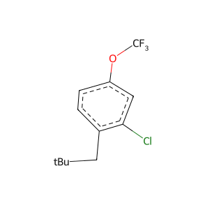 CC(C)(C)Cc1ccc(OC(F)(F)F)cc1Cl